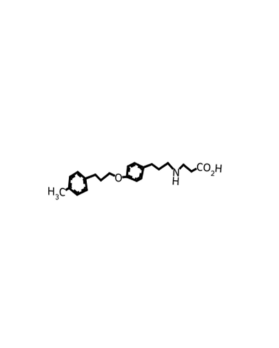 Cc1ccc(CCCOc2ccc(CCCNCCC(=O)O)cc2)cc1